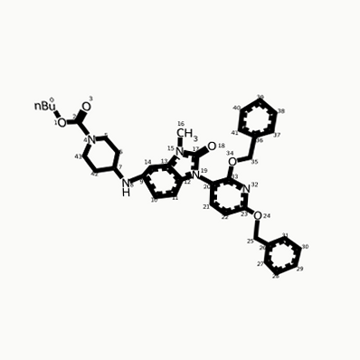 CCCCOC(=O)N1CCC(Nc2ccc3c(c2)n(C)c(=O)n3-c2ccc(OCc3ccccc3)nc2OCc2ccccc2)CC1